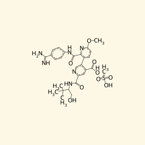 COc1ccc(-c2cnc(C(=O)NC(CO)C(C)(C)C)cc2C(=O)O)c(C(=O)Nc2ccc(C(=N)N)cc2)n1.CS(=O)(=O)O